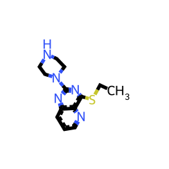 CCSc1nc(N2CCNCC2)nc2cccnc12